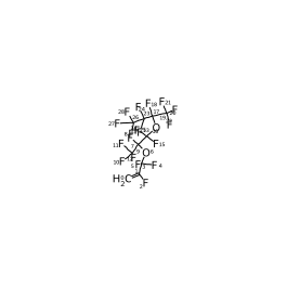 C=C(F)C(F)(F)OC(F)(C(F)(F)F)C(F)(F)OC(F)(C(F)(F)F)C(F)(F)C(F)(F)F